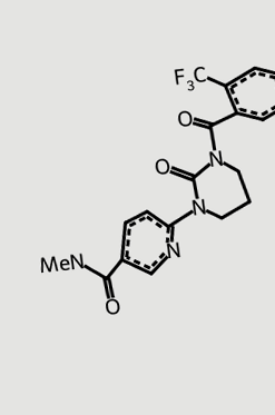 CNC(=O)c1ccc(N2CCCN(C(=O)c3ccccc3C(F)(F)F)C2=O)nc1